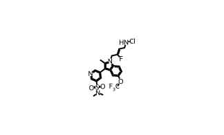 Cc1c(-c2cncc(S(=O)(=O)N(C)C)c2)c2cc(OC(F)(F)F)ccc2n1C/C(F)=C/CNCl